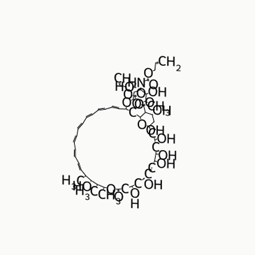 C=CCOC(=O)NC1C(O)C(C)OC(OC2/C=C/C=C/C=C/C=C/C=C/C=C/C=C/C(C)C(O)C(C)C(C)OC(=O)CC(O)CC(O)CCC(O)C(O)CC(O)CC3(O)CC(O)C(C(=O)OC(=O)OCC=C)C(C2)O3)C1O